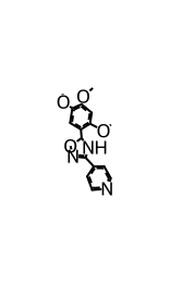 COc1cc(OC)c(C2NC(c3ccncc3)=NO2)cc1OC